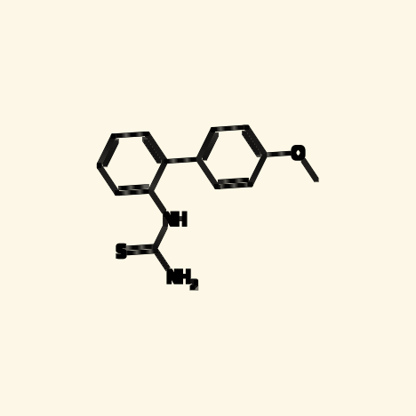 COc1ccc(-c2ccccc2NC(N)=S)cc1